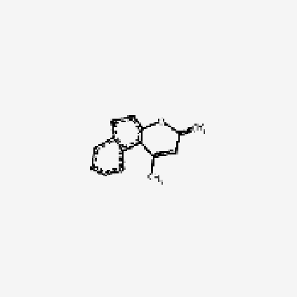 C=C1C=C(C)c2c(ccc3ccccc23)O1